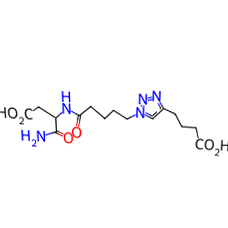 NC(=O)C(CC(=O)O)NC(=O)CCCCn1cc(CCCC(=O)O)nn1